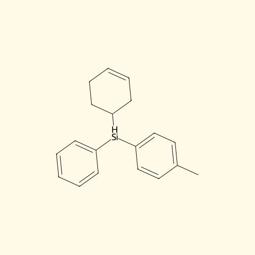 Cc1ccc([SiH](c2ccccc2)C2CC=CCC2)cc1